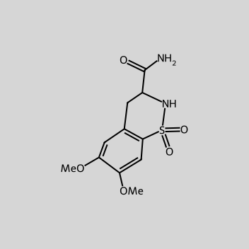 COc1cc2c(cc1OC)S(=O)(=O)NC(C(N)=O)C2